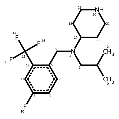 CC(C)CN(Cc1ccc(F)cc1C(F)(F)F)C1CCNCC1